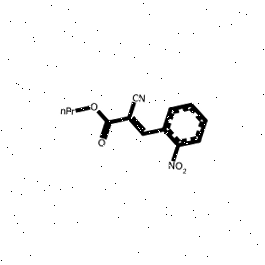 CCCOC(=O)/C(C#N)=C/c1ccccc1[N+](=O)[O-]